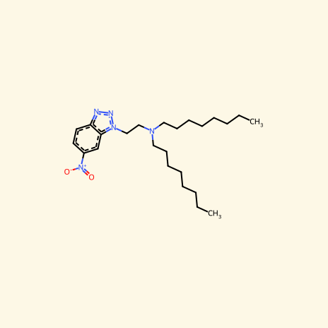 CCCCCCCCN(CCCCCCCC)CCn1nnc2ccc([N+](=O)[O-])cc21